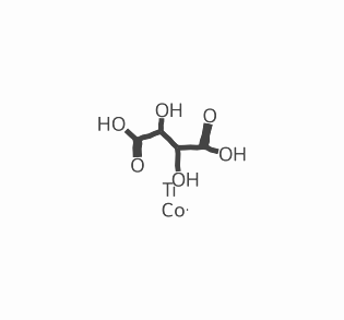 O=C(O)C(O)C(O)C(=O)O.[Co].[Ti]